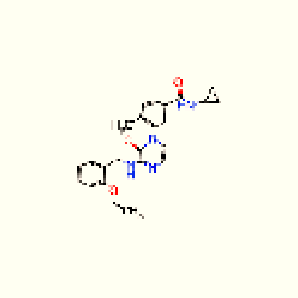 CCOc1ccccc1CNc1nccn(-c2cc(C(=O)NC3CC3)ccc2C)c1=O